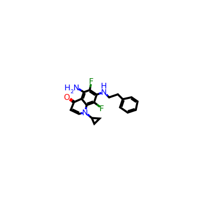 Nc1c(F)c(NCCc2ccccc2)c(F)c2c1c(=O)ccn2C1CC1